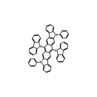 c1ccc(-n2c3ccccc3c3cc4c(-n5c6ccccc6c6ccccc65)c5cc6c(cc5c(-n5c7ccccc7c7ccccc75)c4cc32)c2ccccc2n6-c2ccccc2)cc1